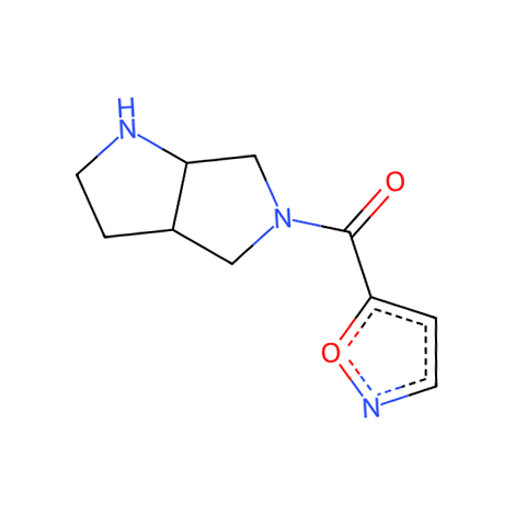 O=C(c1ccno1)N1CC2CCNC2C1